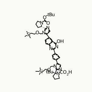 CC(C)(C)OC(=O)N1CCC[C@H]1c1ncc(-c2ccc3nc(-c4ccc(-c5cnc([C@@]6(C(C)(C)C)CCCN6C(=O)O)n5COCC[Si](C)(C)C)cc4)nc(O)c3c2)n1COCC[Si](C)(C)C